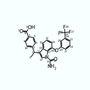 CC(c1ccc(C(=O)O)cc1)c1cn(C(N)=O)c2c(Oc3cccc(C(F)(F)F)c3)cccc12